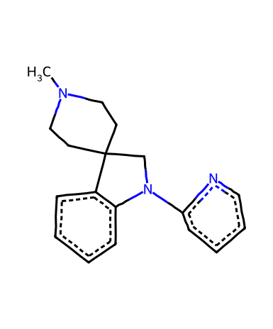 CN1CCC2(CC1)CN(c1ccccn1)c1ccccc12